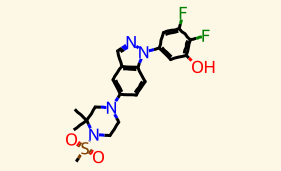 CC1(C)CN(c2ccc3c(cnn3-c3cc(O)c(F)c(F)c3)c2)CCN1S(C)(=O)=O